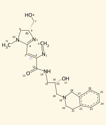 C=N/C(=C\C1=N[C@@H](CO)CN1C)C(=O)NC[C@H](O)CN1CCc2ccccc2C1